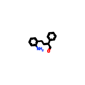 Nc1ccccc1C/C=C(/C=O)c1ccccc1